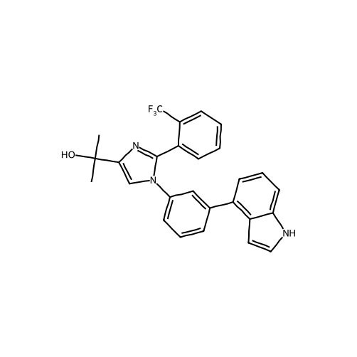 CC(C)(O)c1cn(-c2cccc(-c3cccc4[nH]ccc34)c2)c(-c2ccccc2C(F)(F)F)n1